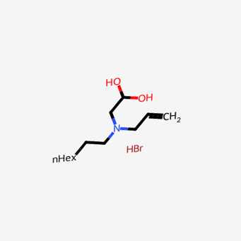 Br.C=CCN(CCCCCCCC)CC(O)O